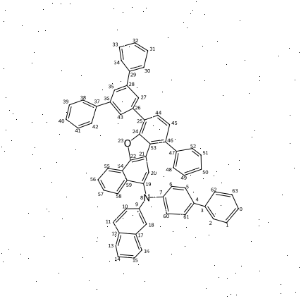 c1ccc(-c2ccc(N(c3ccc4ccccc4c3)c3cc4c(oc5c(-c6cc(-c7ccccc7)cc(-c7ccccc7)c6)ccc(-c6ccccc6)c54)c4ccccc34)cc2)cc1